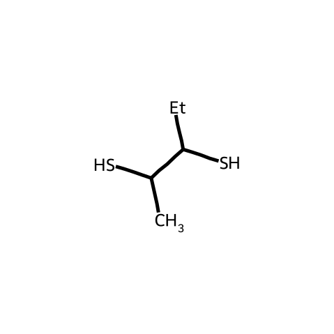 CCC(S)C(C)S